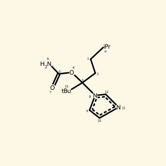 CC(C)CCC(OC(N)=O)(n1ccnc1)C(C)(C)C